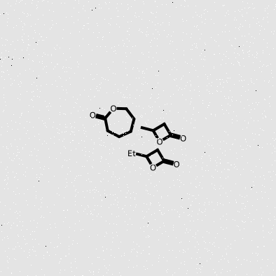 CC1CC(=O)O1.CCC1CC(=O)O1.O=C1CCCCCO1